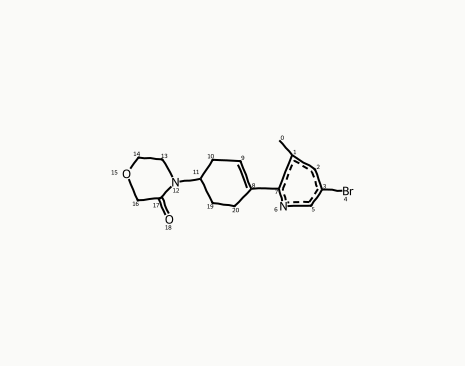 Cc1cc(Br)cnc1C1=CCC(N2CCOCC2=O)CC1